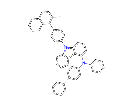 Cc1ccc2ccccc2c1-c1ccc(-n2c3ccccc3c3c(N(c4ccccc4)c4ccc(-c5ccccc5)cc4)cccc32)cc1